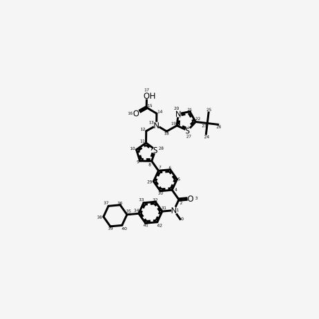 CN(C(=O)c1ccc(-c2ccc(CN(CC(=O)O)Cc3ncc(C(C)(C)C)s3)s2)cc1)c1ccc(C2CCCCC2)cc1